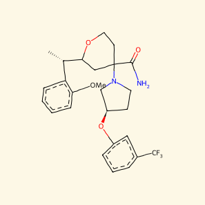 COc1ccccc1[C@H](C)C1CC(C(N)=O)(N2CC[C@@H](Oc3cccc(C(F)(F)F)c3)C2)CCO1